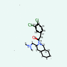 CN(C)CC1CC2CCCCC2CN1C(=O)Cc1ccc(Cl)c(Cl)c1